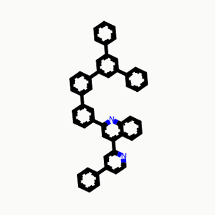 c1ccc(-c2cc(-c3ccccc3)cc(-c3cccc(-c4cccc(-c5cc(-c6cc(-c7ccccc7)ccn6)c6ccccc6n5)c4)c3)c2)cc1